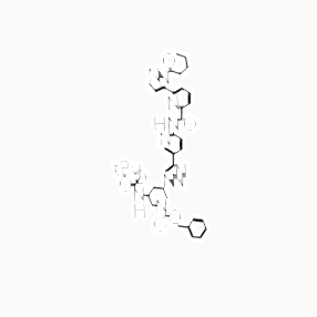 CC(C)(C)OC(=O)NC1CC(n2cc(-c3ccc(NC(=O)c4cccc(-c5ccnn5C5CCCCO5)n4)nc3)nn2)CN(C(=O)OCc2ccccc2)C1